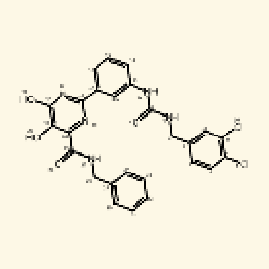 O=C(NCc1ccc(Cl)c(Cl)c1)Nc1cccc(-c2nc(O)c(O)c(C(=O)NCc3ccccc3)n2)c1